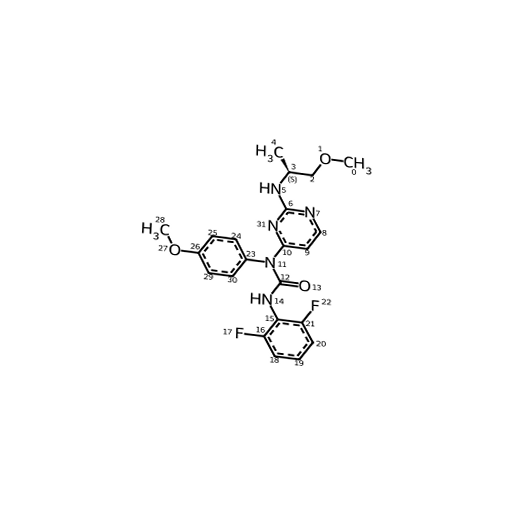 COC[C@H](C)Nc1nccc(N(C(=O)Nc2c(F)cccc2F)c2ccc(OC)cc2)n1